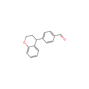 O=[C]c1ccc(C2CCOc3ccccc32)cc1